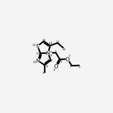 CCOC(=O)C[N+]12[C]=C(C)N=C1SC=C2CC